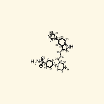 CN1CCN(c2ccc(S(N)(=O)=O)cc2)C(CCCc2c[nH]c3ccc(-n4cnnc4)cc23)C1